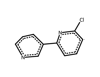 Clc1[c]ccc(-c2cccnc2)n1